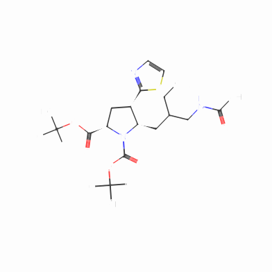 CCC(CNC(C)=O)C[C@@H]1[C@H](c2nccs2)C[C@H](C(=O)OC(C)(C)C)N1C(=O)OC(C)(C)C